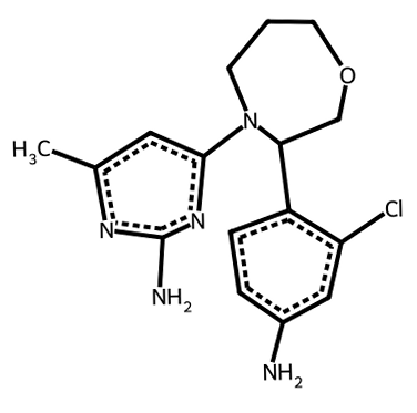 Cc1cc(N2CCCOCC2c2ccc(N)cc2Cl)nc(N)n1